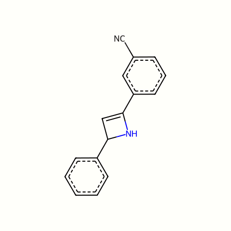 N#Cc1cccc(C2=CC(c3ccccc3)N2)c1